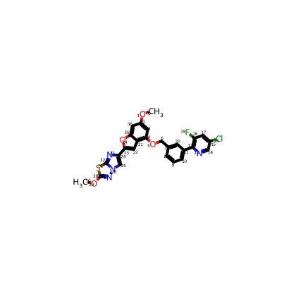 COc1cc(OCc2cccc(-c3ncc(Cl)cc3F)c2)c2cc(-c3cn4nc(OC)sc4n3)oc2c1